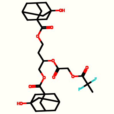 CC(F)(F)C(=O)OCC(=O)OC(CCOC(=O)C12CC3CC(CC(O)(C3)C1)C2)COC(=O)C12CC3CC(CC(O)(C3)C1)C2